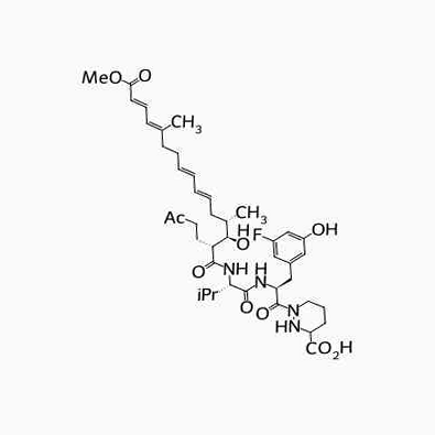 COC(=O)/C=C/C=C(\C)CC/C=C/C=C/C[C@H](C)[C@@H](O)[C@@H](CCC(C)=O)C(=O)N[C@H](C(=O)N[C@@H](Cc1cc(O)cc(F)c1)C(=O)N1CCCC(C(=O)O)N1)C(C)C